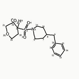 O=C(O)C1(S(=O)(=O)N2CCC(Cc3ccccc3)CC2)CCOCC1